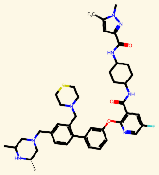 CC1CN(Cc2ccc(-c3cccc(Oc4ncc(F)cc4C(=O)NC4CCC(NC(=O)c5cc(C(F)(F)F)n(C)n5)CC4)c3)c(CN3CCSCC3)c2)C[C@H](C)N1